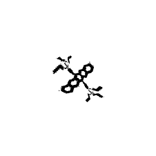 C=CC[Si](C#Cc1c2cc3c[c]ccc3cc2c(C#C[Si](CC=C)(CC=C)CC=C)c2cc3cc[c]cc3cc12)(CC=C)CC=C